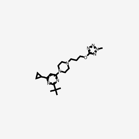 Cn1nnc(OCCCN2CCN(c3cc(C4CC4)nc(C(C)(C)C)n3)CC2)n1